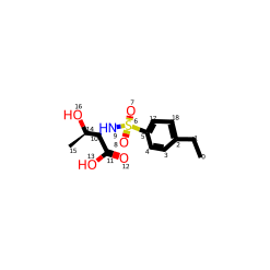 CCc1ccc(S(=O)(=O)N[C@H](C(=O)O)[C@@H](C)O)cc1